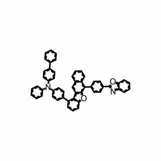 c1ccc(-c2ccc(N(c3ccccc3)c3ccc(-c4cccc5oc6c(-c7ccc(-c8nc9ccccc9o8)cc7)c7ccccc7cc6c45)cc3)cc2)cc1